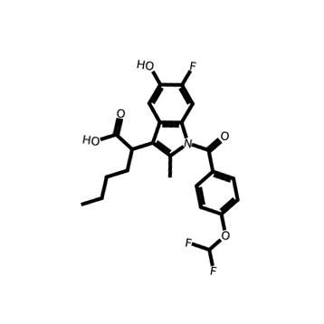 CCCCC(C(=O)O)c1c(C)n(C(=O)c2ccc(OC(F)F)cc2)c2cc(F)c(O)cc12